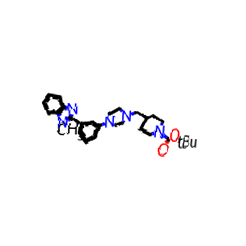 Cn1c(-c2cccc(N3CCN(CC4CCN(C(=O)OC(C)(C)C)CC4)CC3)c2)nc2ccccc21